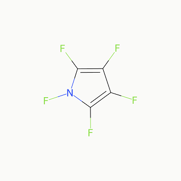 Fc1c(F)c(F)n(F)c1F